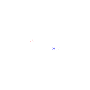 CC(=O)CCCCCCCCCOc1ccc2ccccc2n1